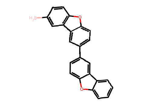 Bc1ccc2oc3ccc(-c4ccc5oc6ccccc6c5c4)cc3c2c1